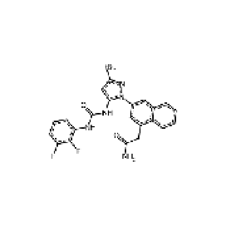 CC(C)(C)c1cc(NC(=O)Nc2cccc(F)c2F)n(-c2cc(CC(N)=O)c3ccccc3c2)n1